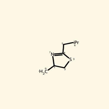 [CH2]C1CSC(CC(C)C)=N1